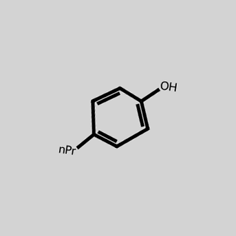 C[C]Cc1ccc(O)cc1